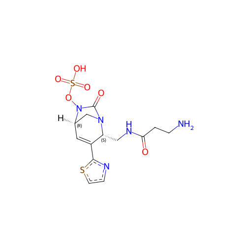 NCCC(=O)NC[C@@H]1C(c2nccs2)=C[C@@H]2CN1C(=O)N2OS(=O)(=O)O